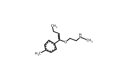 CC/C=C(/OCCNC)c1ccc(C)cc1